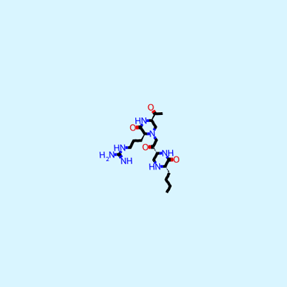 CCCC[C@@H]1NC[C@H](C(=O)CN2C[C@H](C(C)=O)NC(=O)[C@@H]2CCCNC(=N)N)NC1=O